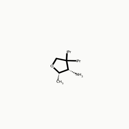 CC(C)C1(C(C)C)CO[C@@H](C)[C@H]1N